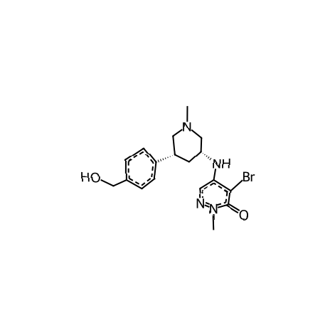 CN1C[C@H](Nc2cnn(C)c(=O)c2Br)C[C@H](c2ccc(CO)cc2)C1